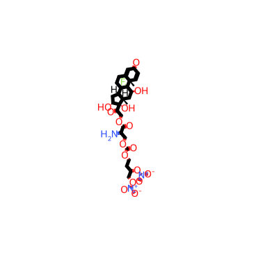 C[C@]12C=CC(=O)C=C1CC[C@H]1[C@@H]3C[C@@H](O)[C@](O)(C(=O)COC(=O)C(N)COC(=O)OCCC(CO[N+](=O)[O-])O[N+](=O)[O-])[C@@]3(C)C[C@H](O)[C@@]12F